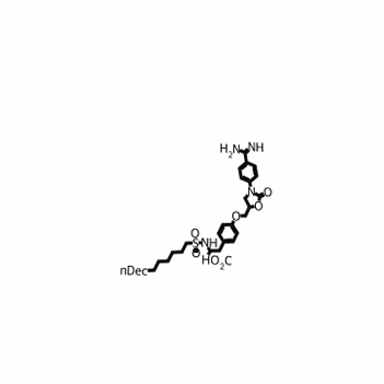 CCCCCCCCCCCCCCCCS(=O)(=O)NC(Cc1ccc(OCC2CN(c3ccc(C(=N)N)cc3)C(=O)O2)cc1)C(=O)O